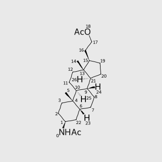 CC(=O)N[C@H]1CC[C@@]2(C)[C@H](CC[C@@H]3[C@@H]2CC[C@]2(C)[C@@H](CCOC(C)=O)CC[C@@H]32)C1